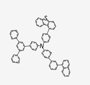 c1ccc(-c2cc(-c3ccccc3)cc(-c3ccc(N(c4ccc(-c5cccc(-c6cccc7ccccc67)c5)cc4)c4ccc(-c5cccc6sc7ccccc7c56)cc4)cc3)c2)cc1